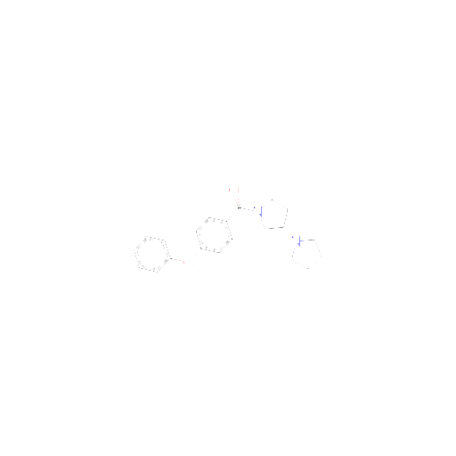 O=C(c1ccc(Oc2ccccc2)cc1)N1CC[C@H](N2CCCC2)C1